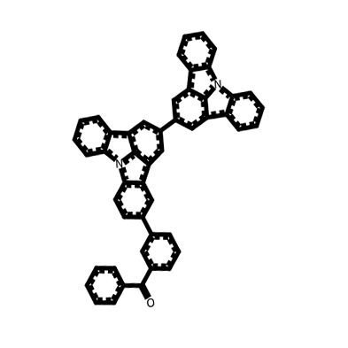 O=C(c1ccccc1)c1cccc(-c2ccc3c(c2)c2cc(-c4cc5c6ccccc6n6c7ccccc7c(c4)c56)cc4c5ccccc5n3c42)c1